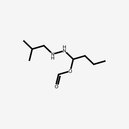 CCCC(NNCC(C)C)OC=O